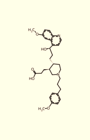 COc1ccc(CCCN2CC[C@@H](CC[C@@H](O)c3ccnc4ccc(OC)cc34)[C@H](CCC(=O)O)C2)cc1